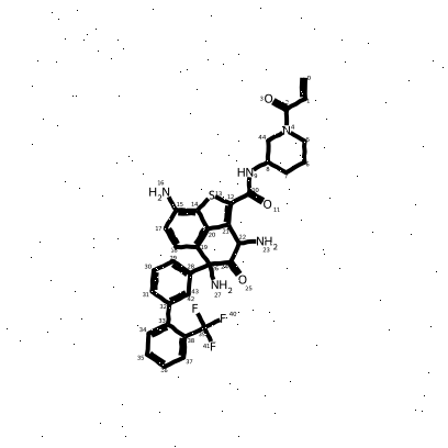 C=CC(=O)N1CCCC(NC(=O)c2sc3c(N)ccc4c3c2C(N)C(=O)C4(N)c2cccc(-c3ccccc3C(F)(F)F)c2)C1